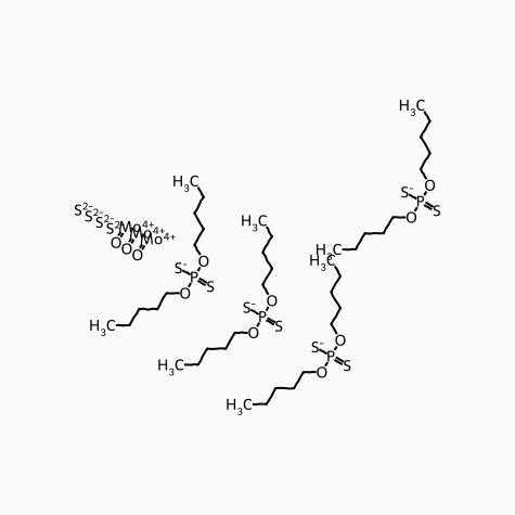 CCCCCOP(=S)([S-])OCCCCC.CCCCCOP(=S)([S-])OCCCCC.CCCCCOP(=S)([S-])OCCCCC.CCCCCOP(=S)([S-])OCCCCC.[O]=[Mo+4].[O]=[Mo+4].[O]=[Mo+4].[S-2].[S-2].[S-2].[S-2]